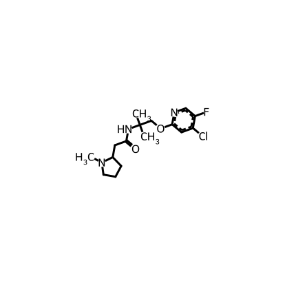 CN1CCCC1CC(=O)NC(C)(C)COc1cc(Cl)c(F)cn1